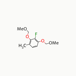 COCOc1ccc(C)c(OCOC)c1F